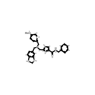 COc1ccc(CN(Cc2ccc3c(c2)OCO3)Cc2nc(C(=O)NCc3ccccc3)cs2)cc1